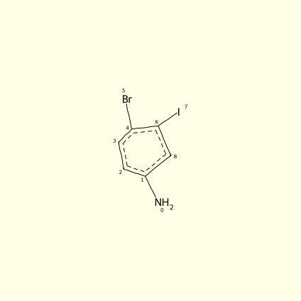 Nc1ccc(Br)c(I)c1